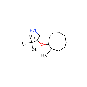 CC1CCCCCCCC1OC(CN)C(C)(C)C